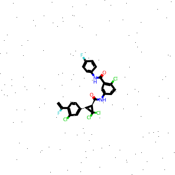 C=C(F)c1ccc([C@@H]2[C@@H](C(=O)Nc3ccc(Cl)c(C(=O)Nc4ccc(F)cc4)c3)C2(Cl)Cl)cc1Cl